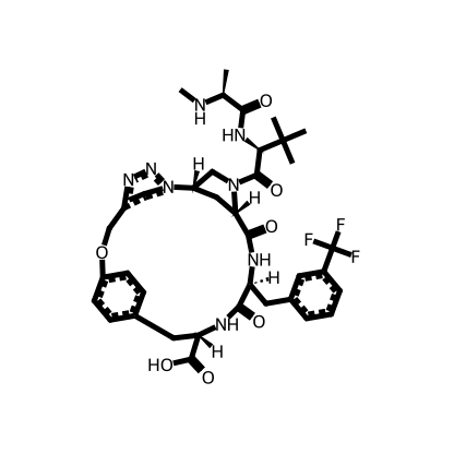 CN[C@@H](C)C(=O)N[C@H](C(=O)N1C[C@@H]2C[C@H]1C(=O)N[C@@H](Cc1cccc(C(F)(F)F)c1)C(=O)N[C@H](C(=O)O)Cc1ccc(cc1)OCc1cn2nn1)C(C)(C)C